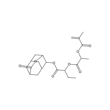 C=C(C)C(=O)OC(C)C(=O)OC(CC)C(=O)OC1C2CC3CC(C2)C(=O)OC1C3